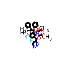 C[C@@H]1CN(c2c(C(O)[Si](c3ccccc3)(c3ccccc3)C(C)(C)C)cc(F)c(F)c2C(=O)c2ccncn2)C[C@H](C)O1